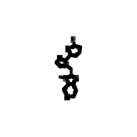 Cn1c(Cn2ccnc2-c2cccc(F)n2)nc2ccncc21